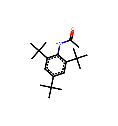 CC(=O)Nc1c(C(C)(C)C)cc(C(C)(C)C)cc1C(C)(C)C